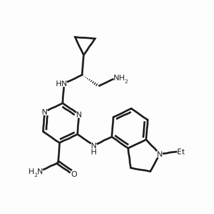 CCN1CCc2c(Nc3nc(N[C@@H](CN)C4CC4)ncc3C(N)=O)cccc21